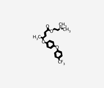 CC(C=CC(=O)OCCN(C)C)Oc1ccc(Oc2ccc(C(F)(F)F)cc2)cc1